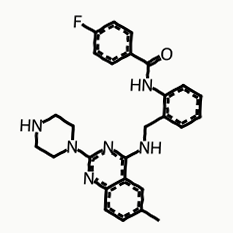 Cc1ccc2nc(N3CCNCC3)nc(NCc3ccccc3NC(=O)c3ccc(F)cc3)c2c1